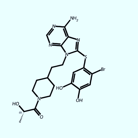 C[C@H](O)C(=O)N1CCC(CCn2c(Sc3cc(O)c(O)cc3Br)nc3c(N)ncnc32)CC1